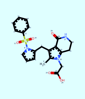 Cc1c(Cc2cccn2S(=O)(=O)c2ccccc2)c2c(n1CC(=O)O)CCNC2=O